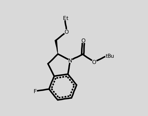 CCOC[C@@H]1Cc2c(F)cccc2N1C(=O)OC(C)(C)C